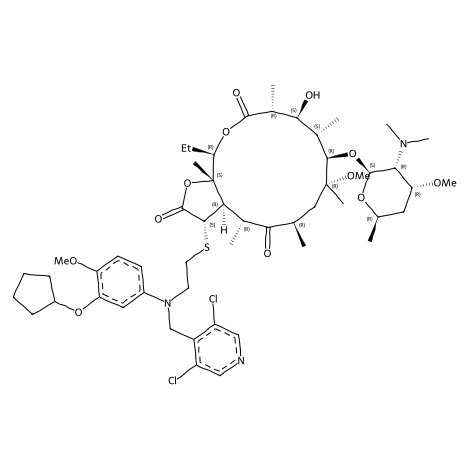 CC[C@H]1OC(=O)[C@H](C)[C@@H](O)[C@H](C)[C@@H](O[C@@H]2O[C@H](C)C[C@@H](OC)[C@H]2N(C)C)[C@](C)(OC)C[C@@H](C)C(=O)[C@H](C)[C@H]2[C@H](SCCN(Cc3c(Cl)cncc3Cl)c3ccc(OC)c(OC4CCCC4)c3)C(=O)O[C@@]21C